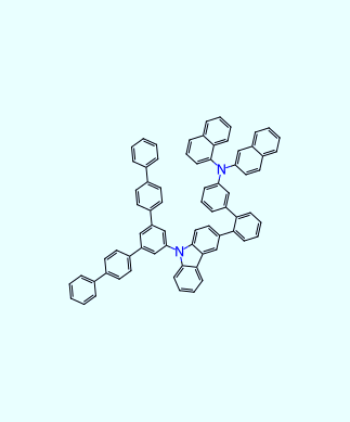 c1ccc(-c2ccc(-c3cc(-c4ccc(-c5ccccc5)cc4)cc(-n4c5ccccc5c5cc(-c6ccccc6-c6cccc(N(c7ccc8ccccc8c7)c7cccc8ccccc78)c6)ccc54)c3)cc2)cc1